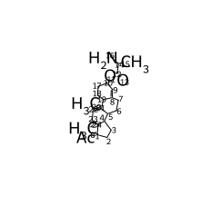 CC(=O)[C@H]1CCC2C3CCC4=C[C@@H](OC(=O)C(C)N)CC[C@]4(C)C3CC[C@@]21C